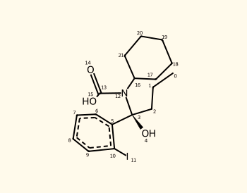 CCC[C@](O)(c1ccccc1I)N(C(=O)O)C1CCCCC1